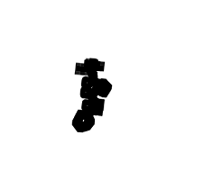 CC(C)(C)NCC(=O)N1CCCC1C(=O)c1nnc(-c2ccccc2)o1